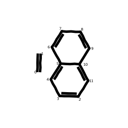 C=C.c1ccc2ccccc2c1